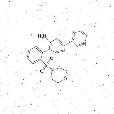 Nc1cc(-c2cnccn2)ccc1-c1ccccc1S(=O)(=O)N1CCOCC1